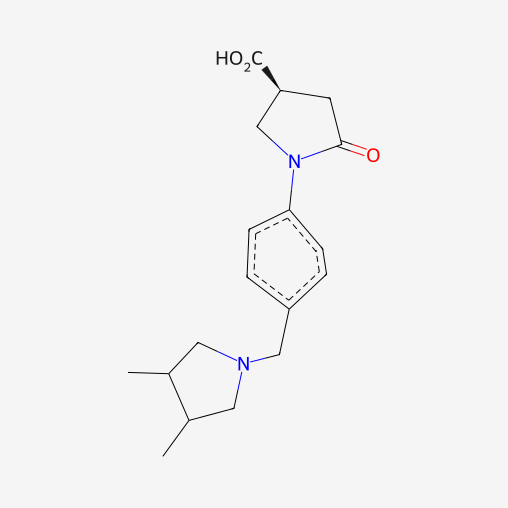 CC1CN(Cc2ccc(N3C[C@@H](C(=O)O)CC3=O)cc2)CC1C